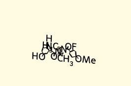 COc1ccc(C(=O)N2C[C@@H](C)N(C(=O)c3c[nH]c4ccc(O)cc34)[C@H](C)C2)c(F)c1